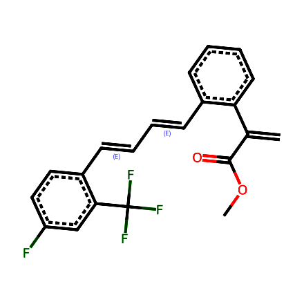 C=C(C(=O)OC)c1ccccc1/C=C/C=C/c1ccc(F)cc1C(F)(F)F